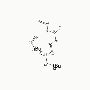 C=CC(C)CC.C=CCC(C)CC=CC(C)CC(C)(C)C